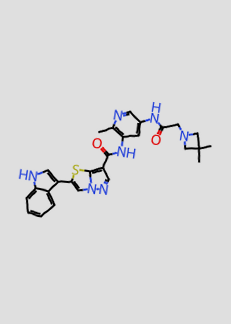 Cc1ncc(NC(=O)CN2CC(C)(C)C2)cc1NC(=O)c1cnn2cc(-c3c[nH]c4ccccc34)sc12